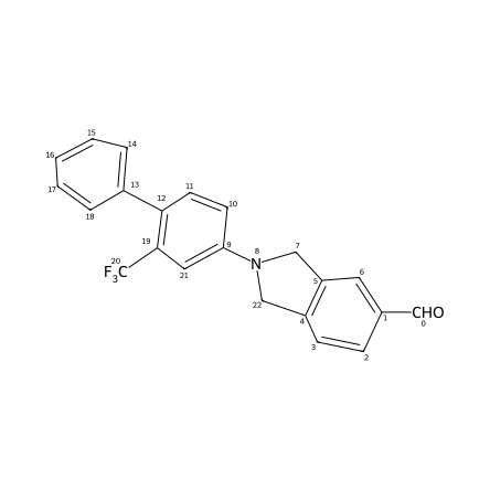 O=Cc1ccc2c(c1)CN(c1ccc(-c3ccccc3)c(C(F)(F)F)c1)C2